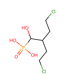 O=P(O)(O)C(O)C(CCCl)CCCl